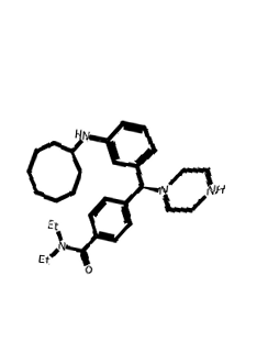 CCN(CC)C(=O)c1ccc([C@@H](c2cccc(NC3CCCCCCC3)c2)N2CCNCC2)cc1